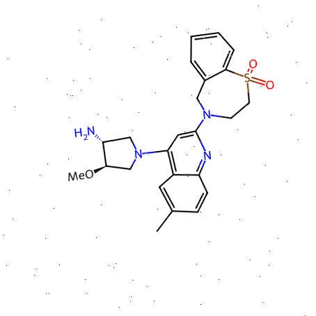 CO[C@@H]1CN(c2cc(N3CCS(=O)(=O)c4ccccc4C3)nc3ccc(C)cc23)C[C@H]1N